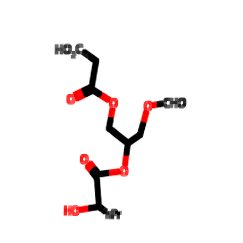 CCCC(O)C(=O)OC(COC=O)COC(=O)CC(=O)O